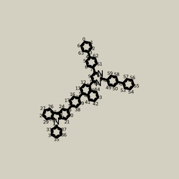 c1ccc(-c2ccc(-c3cc(-c4ccc(-c5ccc(-c6ccc7c(c6)c6ccccc6n7-c6ccccc6)cc5)c5ccccc45)nc(-c4ccc(-c5ccccc5)cc4)n3)cc2)cc1